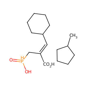 CC1CCCC1.O=C(O)C(=CC1CCCCC1)C[PH](=O)O